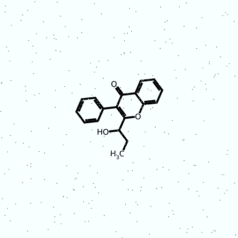 CCC(O)c1oc2ccccc2c(=O)c1-c1ccccc1